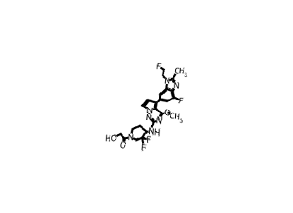 COc1nc(N[C@@H]2CCN(C(=O)CO)CC2(F)F)nn2ccc(-c3cc(F)c4nc(C)n(CCF)c4c3)c12